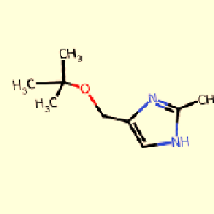 Cc1nc(COC(C)(C)C)c[nH]1